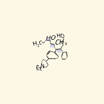 C=C\C=C(O)/C=C(C)/C(=C(\CCCO)c1ccccc1)c1ccc(C2CCN(CC)CC2)cc1